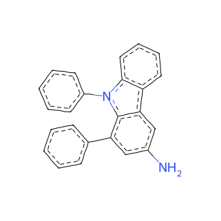 Nc1cc(-c2ccccc2)c2c(c1)c1ccccc1n2-c1ccccc1